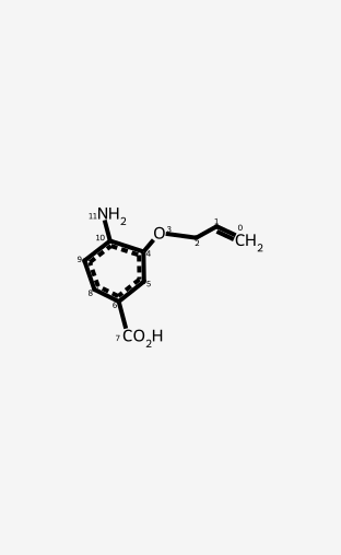 C=CCOc1cc(C(=O)O)ccc1N